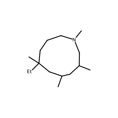 CCC1(C)CCCN(C)CC(C)CC(C)C1